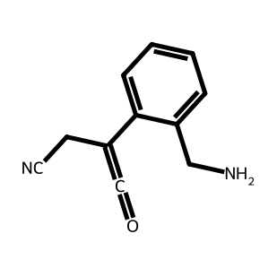 N#CCC(=C=O)c1ccccc1CN